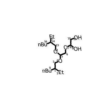 CCCCC(CC)COC(COC(O)CO)OCC(CC)CCCC